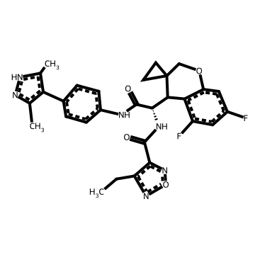 CCc1nonc1C(=O)N[C@H](C(=O)Nc1ccc(-c2c(C)n[nH]c2C)cc1)C1c2c(F)cc(F)cc2OCC12CC2